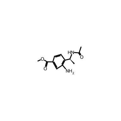 COC(=O)c1ccc([C@H](C)NC(C)=O)c(N)c1